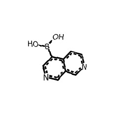 OB(O)c1cncc2cnccc12